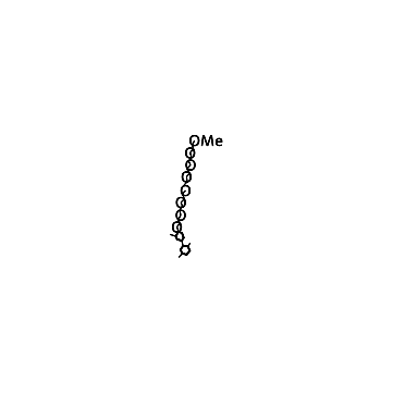 COCCOCCOCCOCCOCCOCCOCCOc1ccc(-c2cc(C)ccc2C)cc1C